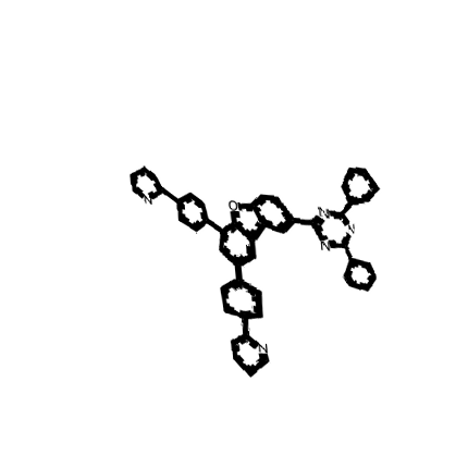 c1ccc(-c2nc(-c3ccccc3)nc(-c3ccc4oc5c(-c6ccc(-c7ccccn7)cc6)cc(-c6ccc(-c7ccccn7)cc6)cc5c4c3)n2)cc1